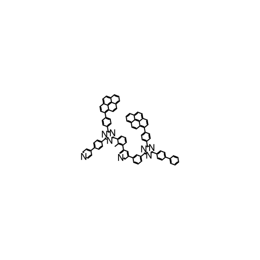 Cc1c(-c2cncc(-c3cccc(-c4nc(-c5ccc(-c6ccccc6)cc5)nc(-c5ccc(-c6ccc7ccc8cccc9ccc6c7c89)cc5)n4)c3)c2)cccc1-c1nc(-c2ccc(-c3ccncc3)cc2)nc(-c2ccc(-c3ccc4ccc5cccc6ccc3c4c56)cc2)n1